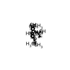 C#C[C@H](ON=C1c2cc(OC)c(OC)cc2-c2[nH]c3ccc(OCCN(C)C)cc3c21)C1CC1.Cl